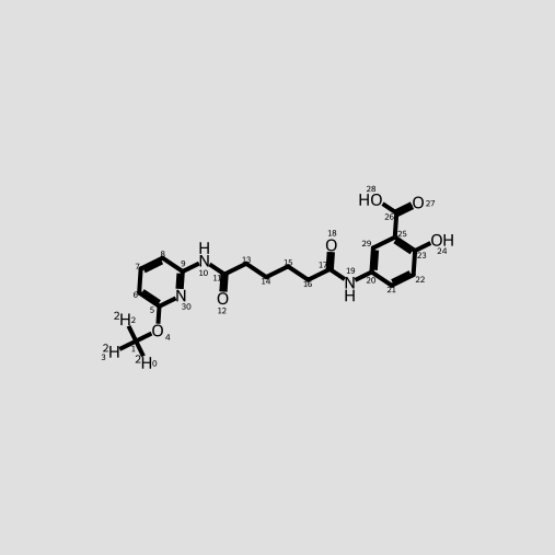 [2H]C([2H])([2H])Oc1cccc(NC(=O)CCCCC(=O)Nc2ccc(O)c(C(=O)O)c2)n1